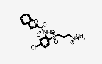 C[NH+]([O-])CCCS(=O)(=O)c1ccc(Cl)cc1NS(=O)(=O)c1cc2ccccc2o1